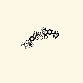 CS(=O)(=O)c1ccc2nc(NC(=O)NC(=O)c3cc(-c4ncccn4)ccc3Cl)sc2c1